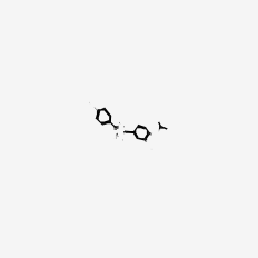 Bc1cc(-c2noc(-c3ccc(N=C)cc3)n2)ccc1OC(C)C